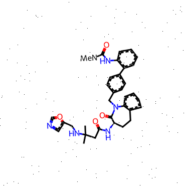 CNC(=O)Nc1ccccc1-c1ccc(CN2C(=O)[C@H](NC(=O)CC(C)(C)NCc3cnco3)CCc3ccccc32)cc1